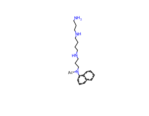 CC(=O)N(CCCNCCCCNCCCN)c1cccc2ccccc12